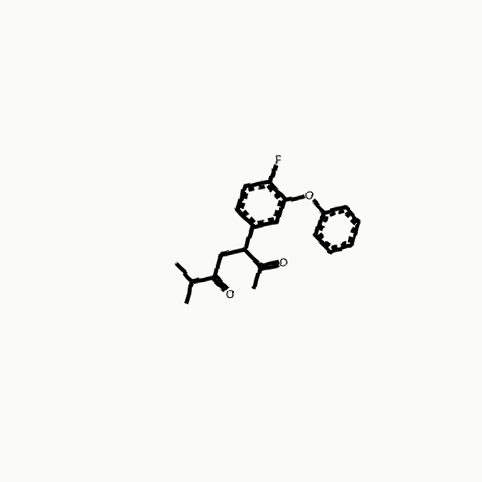 CC(=O)C(CC(=O)C(C)C)c1ccc(F)c(Oc2ccccc2)c1